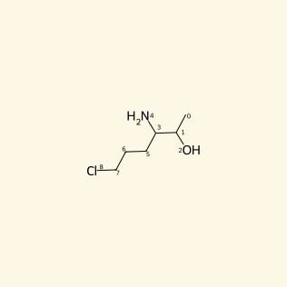 CC(O)C(N)CCCCl